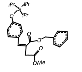 COC(=O)C/C(=C/c1ccc(O[Si](C(C)C)(C(C)C)C(C)C)cc1)C(=O)OCc1ccccc1